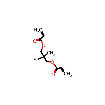 C=CC(=O)OCC(C)(CC)COC(=O)C=C